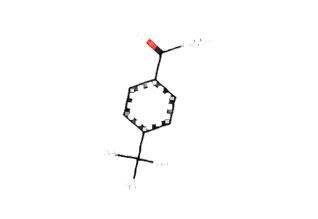 [2H]C([2H])([2H])c1ccc(C(=O)OC)cc1